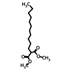 CCCCCCCCCCCC(C(=O)OC)C(=O)OC